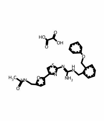 CC(=O)NCc1ccc(-c2csc(/N=C(\N)NCc3ccccc3COc3ccccc3)n2)o1.O=C(O)C(=O)O